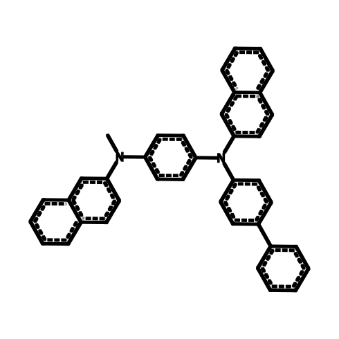 CN(c1ccc(N(c2ccc(-c3ccccc3)cc2)c2ccc3ccccc3c2)cc1)c1ccc2ccccc2c1